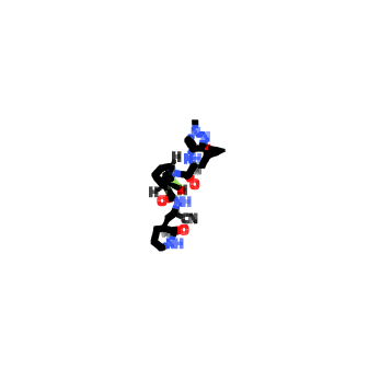 Cn1cc(N[C@H](CC2CC2)C(=O)N2[C@@H]3CC[C@H]([C@H]2C(=O)N[C@@H](C#N)C[C@@H]2CCCNC2=O)C(F)(F)C3)cn1